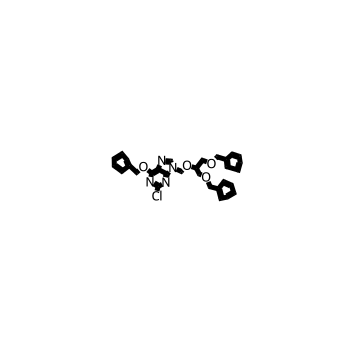 Clc1nc(OCc2ccccc2)c2ncn(COC(COCc3ccccc3)COCc3ccccc3)c2n1